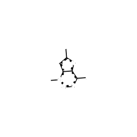 Cc1cc2n(C)nnc(C)c-2n1